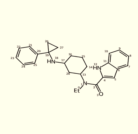 CCN(C(=O)c1cc2ccccc2[nH]1)C1CCCC(NC2(c3ccccc3)CC2)C1